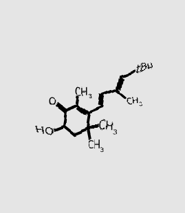 CC1=C(/C=C/C(C)=C/C(C)(C)C)C(C)(C)CC(O)C1=O